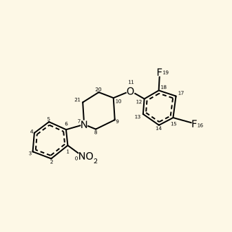 O=[N+]([O-])c1ccccc1N1CCC(Oc2ccc(F)cc2F)CC1